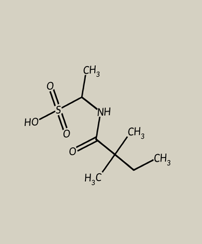 CCC(C)(C)C(=O)NC(C)S(=O)(=O)O